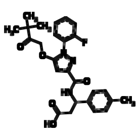 Cc1ccc(C(CC(=O)O)NC(=O)c2cc(OCC(=O)C(C)(C)C)n(-c3ccccc3F)n2)cc1